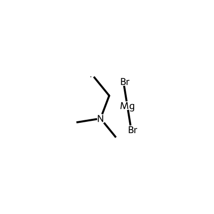 [Br][Mg][Br].[CH2]CN(C)C